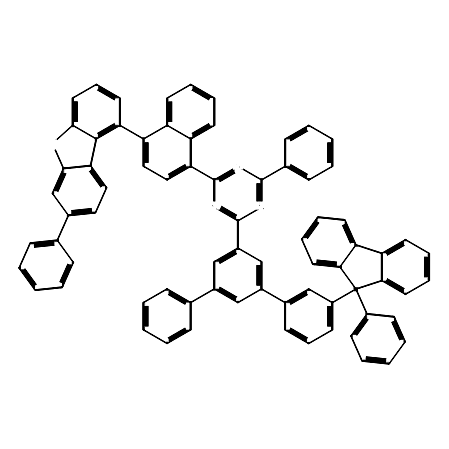 c1ccc(-c2cc(-c3cccc(C4(c5ccccc5)c5ccccc5-c5ccccc54)c3)cc(-c3nc(-c4ccccc4)nc(-c4ccc(-c5cccc6sc7cc(-c8ccccc8)ccc7c56)c5ccccc45)n3)c2)cc1